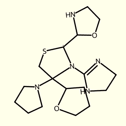 C1COC(C2(N3CCCC3)CS[C](C3NCCO3)N2C2=NCCN2)C1